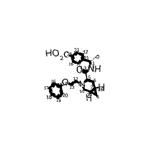 C[C@H](NC(=O)[C@H]1C[C@@H]2C[C@@H]2CN1CCOc1ccccc1)c1ccc(C(=O)O)cc1